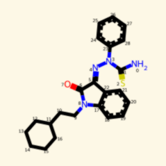 NC(=S)N(N=C1C(=O)N(CCC2CCCCC2)c2ccccc21)c1ccccc1